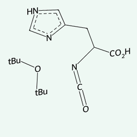 CC(C)(C)OC(C)(C)C.O=C=NC(Cc1c[nH]cn1)C(=O)O